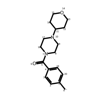 [CH2]c1ccc(C(=O)N2CCN(C3CCOCC3)CC2)cc1